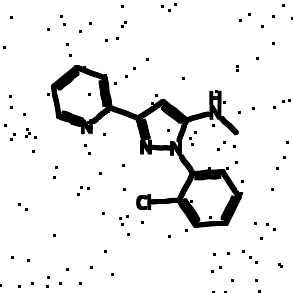 CNc1cc(-c2ccccn2)nn1-c1ccccc1Cl